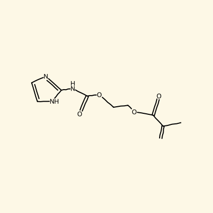 C=C(C)C(=O)OCCOC(=O)Nc1ncc[nH]1